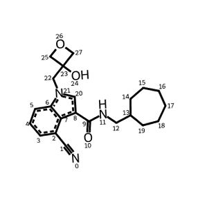 N#Cc1cccc2c1c(C(=O)NCC1CCCCCC1)cn2CC1(O)COC1